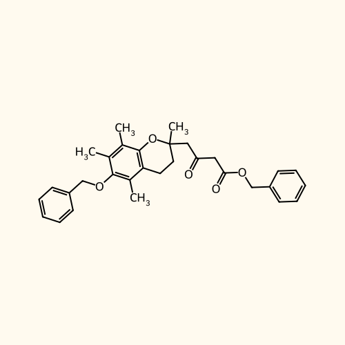 Cc1c(C)c2c(c(C)c1OCc1ccccc1)CCC(C)(CC(=O)CC(=O)OCc1ccccc1)O2